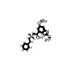 CC(C)Oc1nc2cc(OC(C)(C)C)cc([C@@H](O)C[N+](C)(C)CCc3ccccc3)c2s1